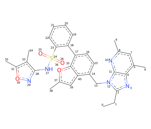 CCc1nc2c(C)cc(C)nc2n1Cc1ccc(-c2ccccc2S(=O)(=O)Nc2noc(C)c2C)c2oc(C)cc12